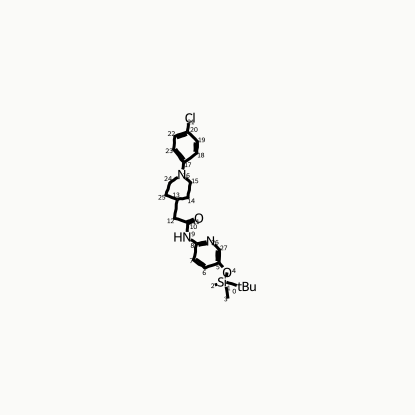 CC(C)(C)[Si](C)(C)Oc1ccc(NC(=O)CC2CCN(c3ccc(Cl)cc3)CC2)nc1